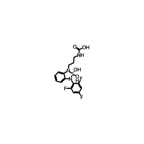 O=C(O)NCCCN1c2ccccc2N(c2c(F)cc(F)cc2F)S1(O)O